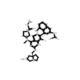 CN(c1nc(OC[C@@]23CCCN2C[C@H](F)C3)nc2c(F)c(-c3cc(OC(F)F)cc4cccc(Cl)c34)ncc12)[C@@H]1CCN(C(=O)OC(C)(C)C)C1